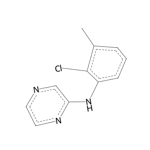 Cc1cccc(Nc2cnccn2)c1Cl